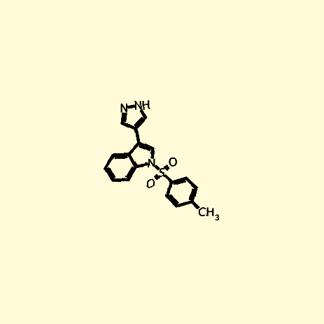 Cc1ccc(S(=O)(=O)n2cc(-c3cn[nH]c3)c3ccccc32)cc1